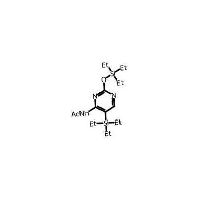 CC[Si](CC)(CC)Oc1ncc([Si](CC)(CC)CC)c(NC(C)=O)n1